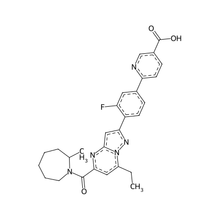 CCc1cc(C(=O)N2CCCCCC2C)nc2cc(-c3ccc(-c4ccc(C(=O)O)cn4)cc3F)nn12